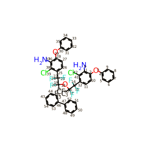 Nc1c(Oc2ccccc2)ccc(C(F)(F)C(F)(OC(F)(C(F)(F)F)C(F)(F)c2ccc(Oc3ccccc3)c(N)c2Cl)C(F)(F)F)c1Cl.c1ccc(-c2ccccc2)cc1